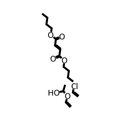 C=CCl.C=COC(C)O.CCCCOC(=O)C=CC(=O)OCCCC